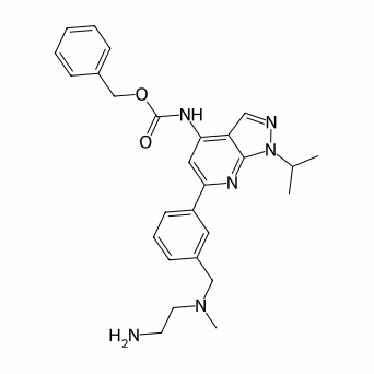 CC(C)n1ncc2c(NC(=O)OCc3ccccc3)cc(-c3cccc(CN(C)CCN)c3)nc21